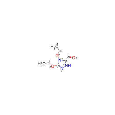 CCOC1=NNC(C=O)N1OCC